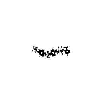 CC(C)c1ccc(F)cc1NC(=S)N/N=C/c1ccc(-c2ncn(-c3ccc(OC(F)(F)F)cc3)n2)cc1